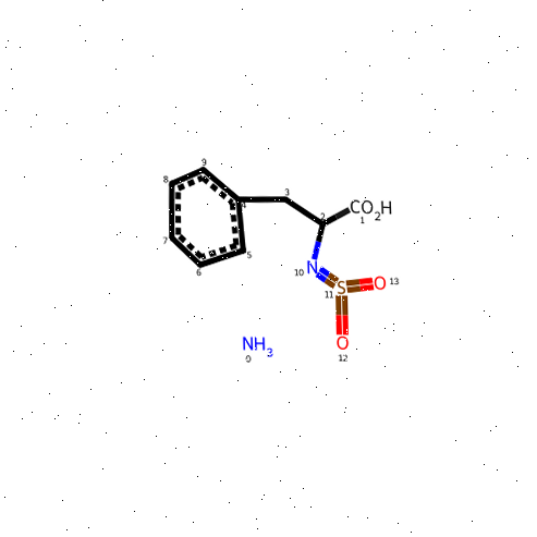 N.O=C(O)C(Cc1ccccc1)N=S(=O)=O